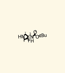 CC(C)(C)OC(=O)NC[C@H]1CNC[C@@H]1F